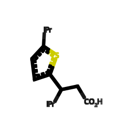 CC(C)c1ccc(C(CC(=O)O)C(C)C)s1